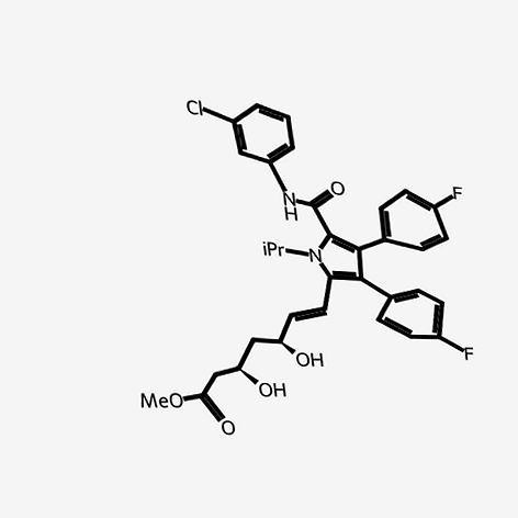 COC(=O)C[C@H](O)C[C@H](O)/C=C/c1c(-c2ccc(F)cc2)c(-c2ccc(F)cc2)c(C(=O)Nc2cccc(Cl)c2)n1C(C)C